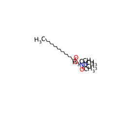 CCCCCCCCCCCCCCCCCC(=O)OCCN1C(=O)C(C)(C)N(C)C1(C)C